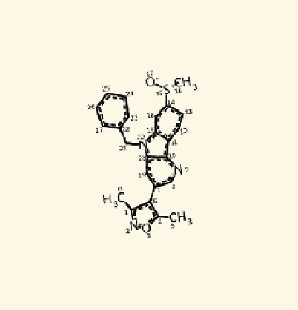 Cc1noc(C)c1-c1cnc2c3ccc([S+](C)[O-])cc3n(Cc3ccccc3)c2c1